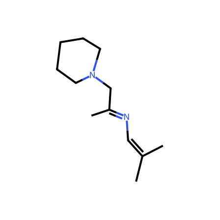 CC(C)=C/N=C(\C)CN1CCCCC1